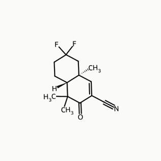 CC1(C)C(=O)C(C#N)=C[C@]2(C)CC(F)(F)CC[C@@H]12